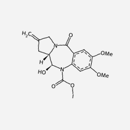 C=C1C[C@H]2[C@H](O)N(C(=O)OI)c3cc(OC)c(OC)cc3C(=O)N2C1